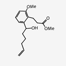 C=CCCCC(O)c1cccc(OC)c1CCC(=O)OC